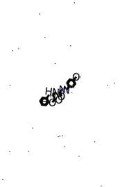 COc1ccc(/N=N/C(=O)N[C@@H](Cc2ccccc2)C(=O)O)cc1